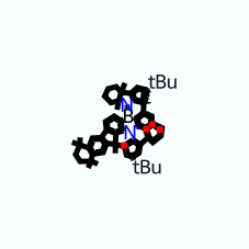 Cc1cc2c3c(c1)N(c1ccc(C(C)(C)C)cc1-c1ccccc1)c1c(ccc4c1C(C)(C)c1cc5c(cc1-4)C(C)(C)CCC5(C)C)B3N1c3c-2cc(C(C)(C)C)cc3C2(C)CCCCC12C